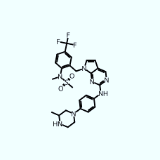 CC1CN(c2ccc(Nc3ncc4ccn(Cc5cc(C(F)(F)F)ccc5N(C)S(C)(=O)=O)c4n3)cc2)CCN1